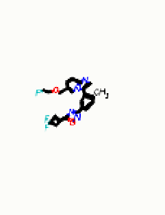 Cc1ccc(-c2noc(C3CC(F)(F)C3)n2)cc1-c1cnc2ccc(COCCF)cn12